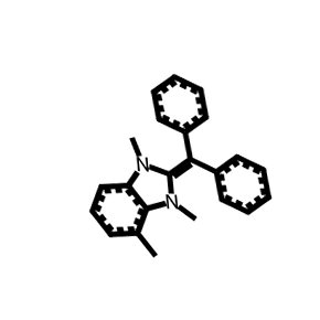 Cc1cccc2c1N(C)C(=C(c1ccccc1)c1ccccc1)N2C